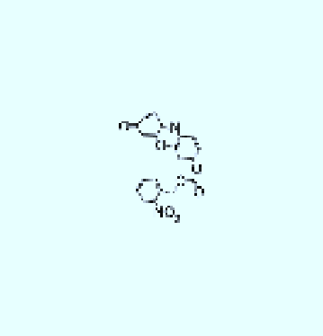 O=C(OCc1ccccc1[N+](=O)[O-])Oc1ccc2nc3ccc(=O)cc-3oc2c1